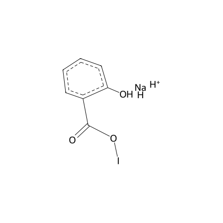 O=C(OI)c1ccccc1O.[H+].[NaH]